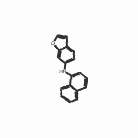 c1ccc2c(Nc3ccc4ccoc4c3)cccc2c1